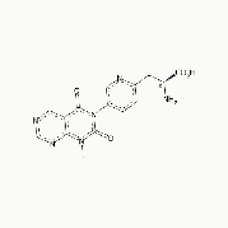 Cn1c(=O)n(-c2ccc(C[C@H](N)C(=O)O)nc2)c(=O)c2cncnc21